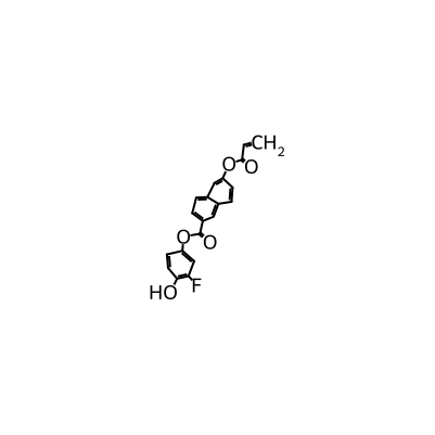 C=CC(=O)Oc1ccc2cc(C(=O)Oc3ccc(O)c(F)c3)ccc2c1